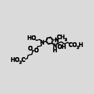 CN1c2ccc(N(CCO)CCOC(=O)CCCC(=O)O)cc2NC1(O)CCCC(=O)O